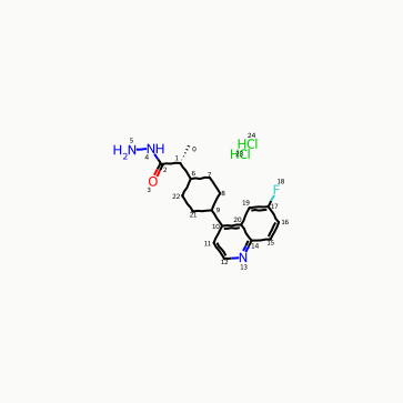 C[C@@H](C(=O)NN)C1CCC(c2ccnc3ccc(F)cc23)CC1.Cl.Cl